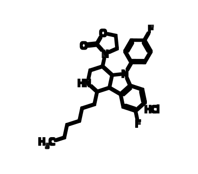 CCCCCCC1NCC(N2CCOC2=O)C2C1c1cc(F)ccc1N2c1ccc(F)cc1.Cl